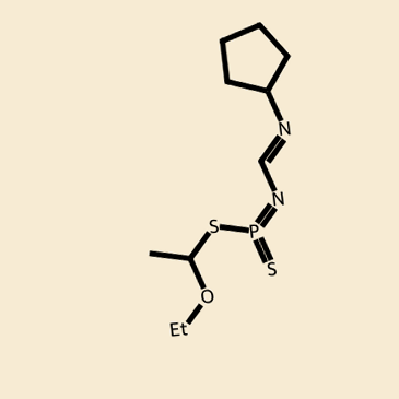 CCOC(C)SP(=S)=NC=NC1CCCC1